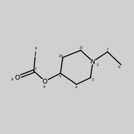 CCN1CCC(OC(=O)I)CC1